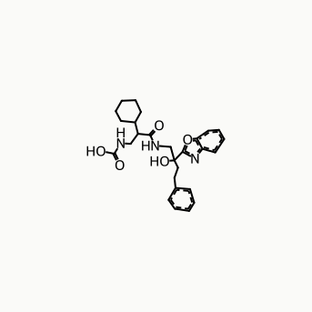 O=C(O)NCC(C(=O)NCC(O)(CCc1ccccc1)c1nc2ccccc2o1)C1CCCCC1